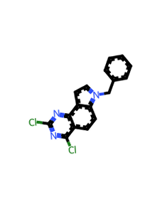 Clc1nc(Cl)c2ccc3c(ccn3Cc3ccccc3)c2n1